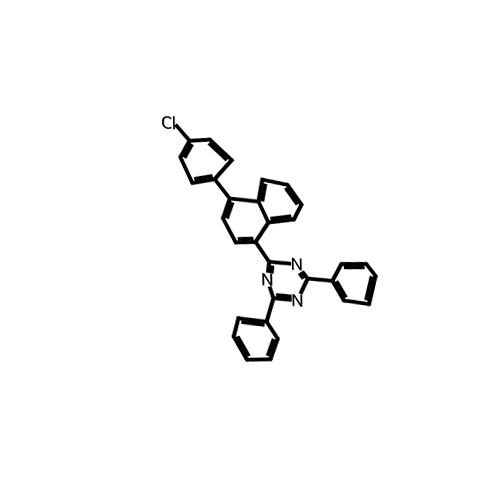 Clc1ccc(-c2ccc(-c3nc(-c4ccccc4)nc(-c4ccccc4)n3)c3ccccc23)cc1